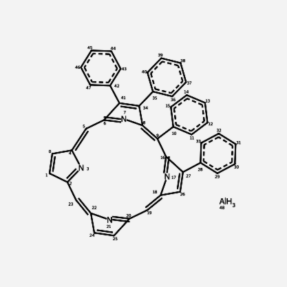 C1=CC2=NC1=CC1=NC(=C(c3ccccc3)C3=NC(=CC4=NC(=C2)C=C4)C=C3c2ccccc2)C(c2ccccc2)=C1c1ccccc1.[AlH3]